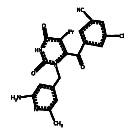 Cc1cc(Cn2c(C(=O)c3cc(Cl)cc(C#N)c3)c(C(C)C)c(=O)[nH]c2=O)cc(N)n1